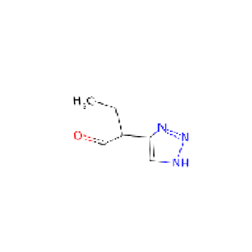 CCC(C=O)c1c[nH]nn1